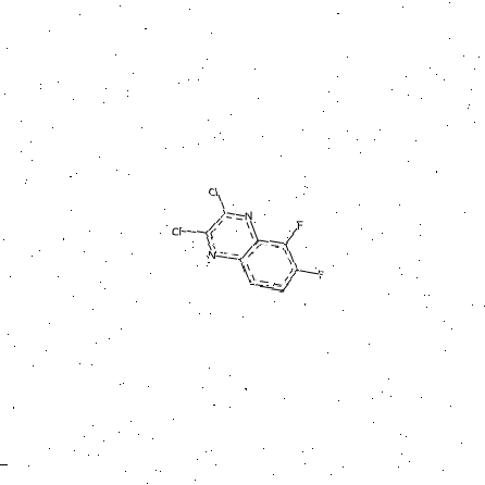 Fc1ccc2nc(Cl)c(Cl)nc2c1F